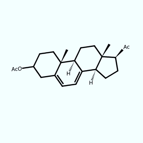 CC(=O)OC1CC[C@@]2(C)C(=CC=C3[C@@H]4CC[C@H](C(C)=O)[C@@]4(C)CC[C@@H]32)C1